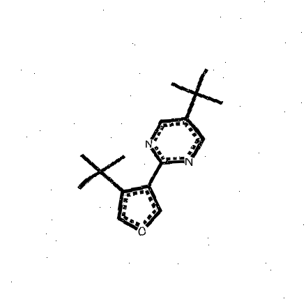 CC(C)(C)c1cnc(-c2cocc2C(C)(C)C)nc1